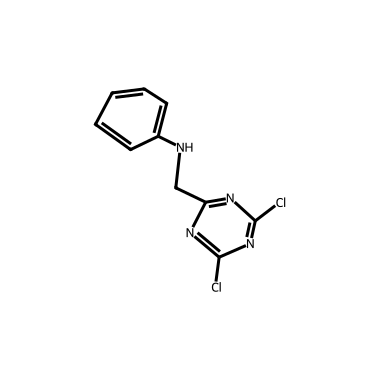 Clc1nc(Cl)nc(CNc2ccccc2)n1